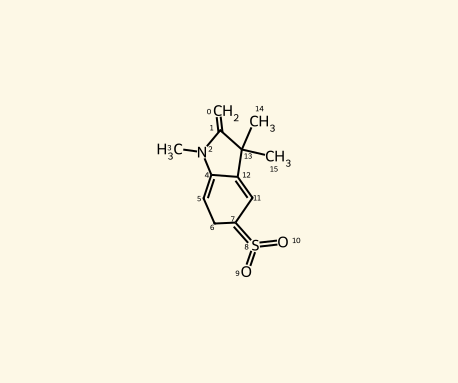 C=C1N(C)C2=CCC(=S(=O)=O)C=C2C1(C)C